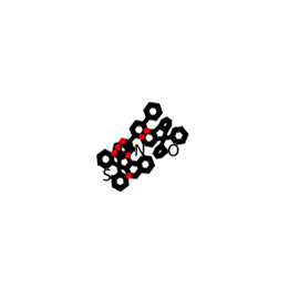 c1ccc(-c2ccc(-c3ccccc3N(c3ccc4c(c3)C3(c5ccccc5Oc5ccccc53)c3ccccc3-4)c3cccc4ccc5c(c34)-c3ccccc3C53c4ccccc4Sc4ccccc43)cc2)cc1